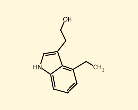 CCc1cccc2[nH]cc(CCO)c12